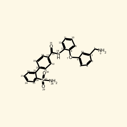 NCc1cccc(Oc2ccccc2NC(=O)c2ccc(-c3ccccc3S(N)(=O)=O)cc2)c1